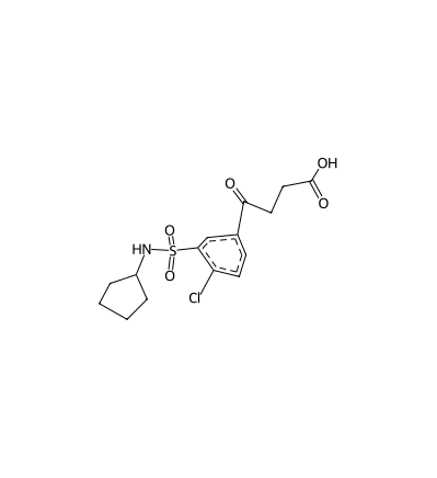 O=C(O)CCC(=O)c1ccc(Cl)c(S(=O)(=O)NC2CCCC2)c1